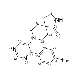 O=C1NCCC12CCN(c1cncnc1-c1ccc(F)cc1)CC2